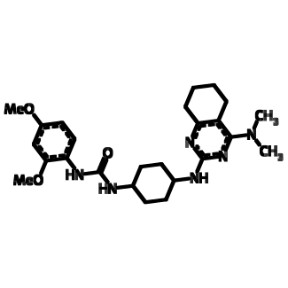 COc1ccc(NC(=O)NC2CCC(Nc3nc4c(c(N(C)C)n3)CCCC4)CC2)c(OC)c1